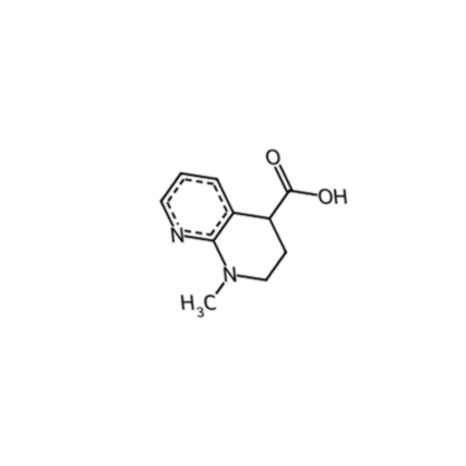 CN1CCC(C(=O)O)c2cccnc21